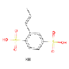 CC=Cc1cc(S(=O)(=O)O)ccc1S(=O)(=O)O.[KH]